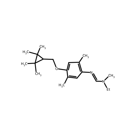 CCN(C)C=Nc1cc(C)c(OCC2C(C)(C)C2(C)C)cc1C